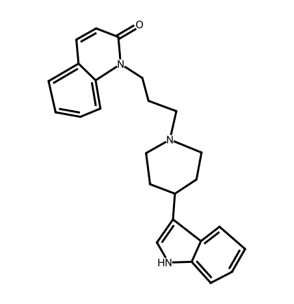 O=c1ccc2ccccc2n1CCCN1CCC(c2c[nH]c3ccccc23)CC1